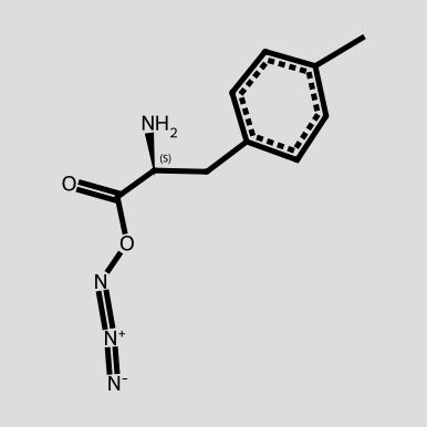 Cc1ccc(C[C@H](N)C(=O)ON=[N+]=[N-])cc1